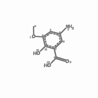 COc1cc(N)cc(C(=O)O)c1O